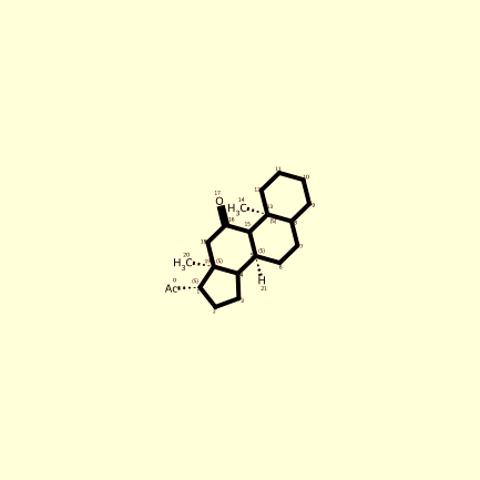 CC(=O)[C@H]1CCC2[C@@H]3CCC4CCCC[C@]4(C)C3C(=O)C[C@@]21C